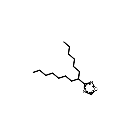 CCCCCCCC(CCCCCC)c1ncon1